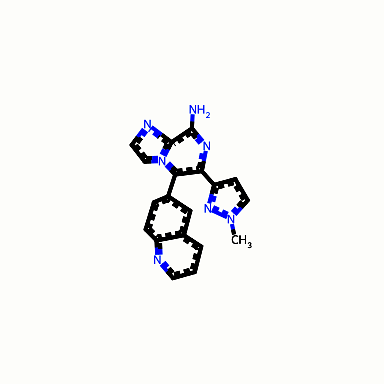 Cn1ccc(-c2nc(N)c3nccn3c2-c2ccc3ncccc3c2)n1